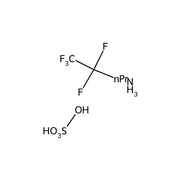 CCCC(F)(F)C(F)(F)F.N.O=S(=O)(O)O